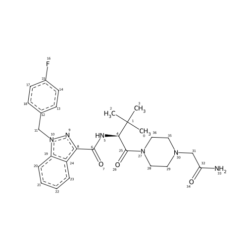 CC(C)(C)[C@H](NC(=O)c1nn(Cc2ccc(F)cc2)c2ccccc12)C(=O)N1CCN(CC(N)=O)CC1